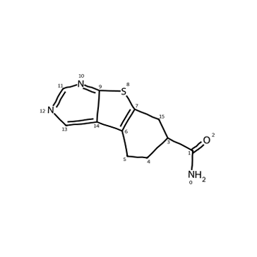 NC(=O)C1CCc2c(sc3ncncc23)C1